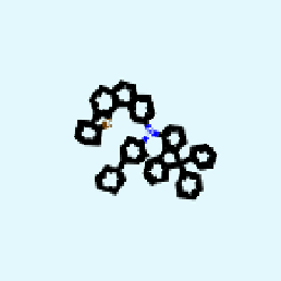 c1ccc(-c2ccc(N(c3ccc4ccc5ccc6c7ccccc7sc6c5c4c3)c3cccc4c3-c3ccccc3C4(c3ccccc3)c3ccccc3)cc2)cc1